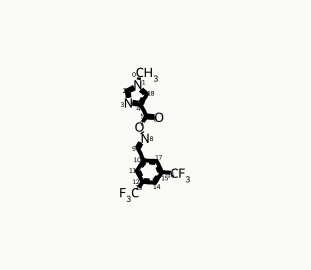 Cn1cnc(C(=O)ON=Cc2cc(C(F)(F)F)cc(C(F)(F)F)c2)c1